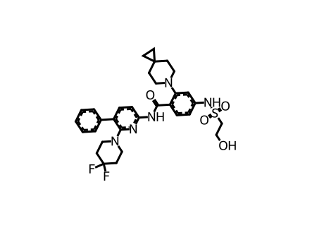 O=C(Nc1ccc(-c2ccccc2)c(N2CCC(F)(F)CC2)n1)c1ccc(NS(=O)(=O)CCO)cc1N1CCC2(CC1)CC2